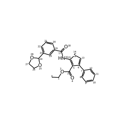 CCOC(=O)c1c(-c2ccccc2)csc1NC(=O)c1cccc(C2OCCO2)c1